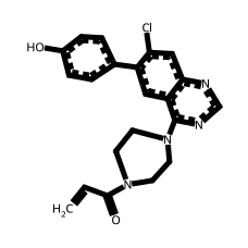 C=CC(=O)N1CCN(c2ncnc3cc(Cl)c(-c4ccc(O)cc4)cc23)CC1